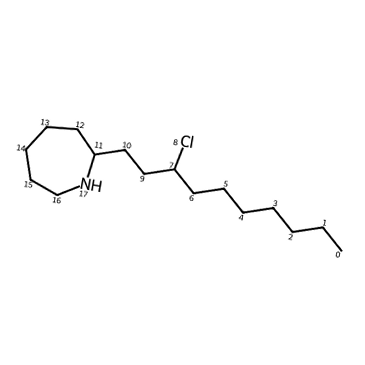 CCCCCCCC(Cl)CCC1CCCCCN1